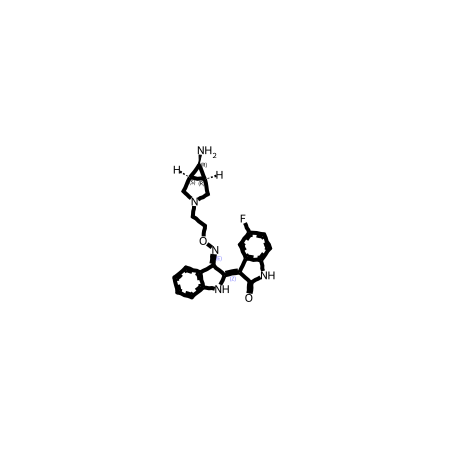 N[C@H]1[C@H]2CN(CCO/N=C3/C(=C4/C(=O)Nc5ccc(F)cc54)Nc4ccccc43)C[C@@H]12